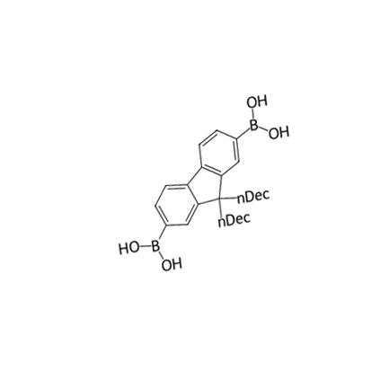 CCCCCCCCCCC1(CCCCCCCCCC)c2cc(B(O)O)ccc2-c2ccc(B(O)O)cc21